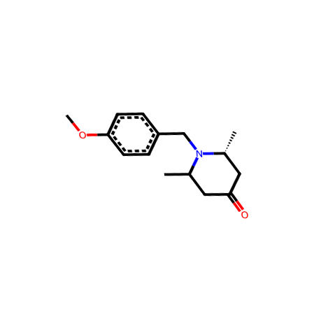 COc1ccc(CN2C(C)CC(=O)C[C@H]2C)cc1